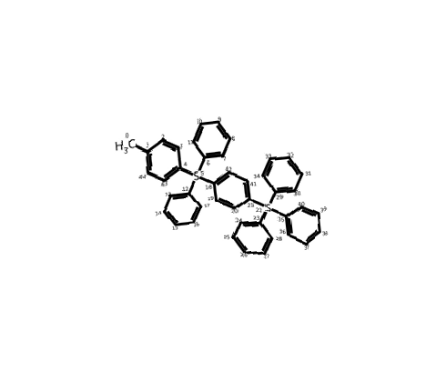 Cc1ccc(S(c2ccccc2)(c2ccccc2)c2ccc(S(c3ccccc3)(c3ccccc3)c3ccccc3)cc2)cc1